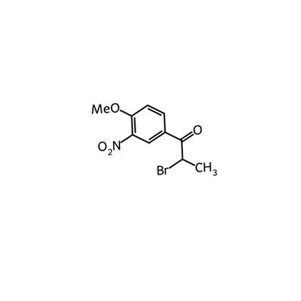 COc1ccc(C(=O)C(C)Br)cc1[N+](=O)[O-]